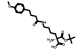 COc1ccc(CCCC(=O)NCCCC[C@](N)(C(=O)O)C(=O)OC(C)(C)C)cc1